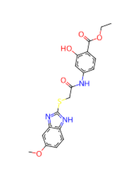 CCOC(=O)c1ccc(NC(=O)CSc2nc3cc(OC)ccc3[nH]2)cc1O